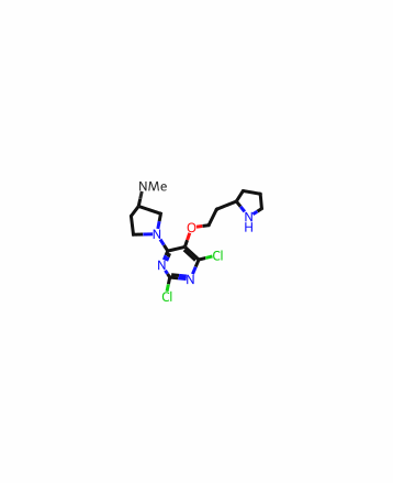 CNC1CCN(c2nc(Cl)nc(Cl)c2OCCC2CCCN2)C1